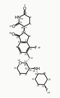 O=C1CC[C@@H](N2Cc3c(ccc(C[C@H]4OCCC[C@@H]4N[C@H]4CC[C@H](F)CC4)c3F)C2=O)C(=O)N1